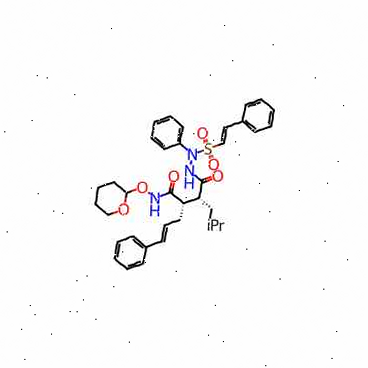 CC(C)C[C@@H](C(=O)NN(c1ccccc1)S(=O)(=O)C=Cc1ccccc1)[C@H](CC=Cc1ccccc1)C(=O)NOC1CCCCO1